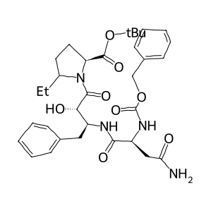 CCC1CC[C@@H](C(=O)OC(C)(C)C)N1C(=O)[C@@H](O)[C@H](Cc1ccccc1)NC(=O)[C@H](CC(N)=O)NC(=O)OCc1ccccc1